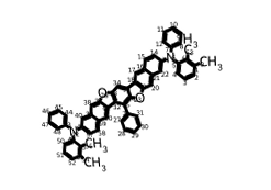 Cc1cccc(N(c2ccccc2)c2ccc3cc4c(cc3c2)oc2c(-c3ccccc3)c3c(cc24)oc2cc4cc(N(c5ccccc5)c5cccc(C)c5C)ccc4cc23)c1C